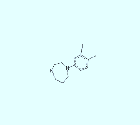 Cc1ccc(N2CCCN(C)CC2)cc1I